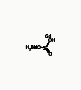 O=[Si](O)O.[BaH2].[Gd]